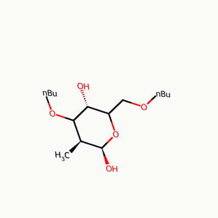 CCCCOCC1O[C@@H](O)[C@@H](C)C(OCCCC)[C@@H]1O